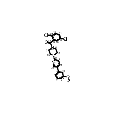 COc1cccc(-c2ccc(N3CCN(C(=O)c4cc(Cl)ccc4Cl)CC3)nc2)c1